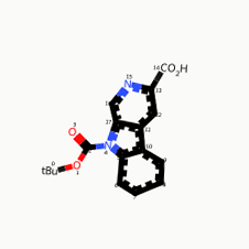 CC(C)(C)OC(=O)n1c2ccccc2c2cc(C(=O)O)ncc21